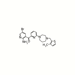 Cc1ccsc1CN1CCCN(c2cccc(C(=O)c3cc(Br)cnc3N)n2)CC1